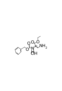 CCOC(=O)[C@@H](CN)NC(=O)OCc1ccccc1.Cl